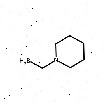 BCN1CCCCC1